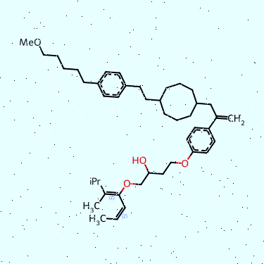 C=C(CC1CCCC(CCc2ccc(CCCCCOC)cc2)CCC1)c1ccc(OCCC(O)COC(/C=C\C)=C(/C)C(C)C)cc1